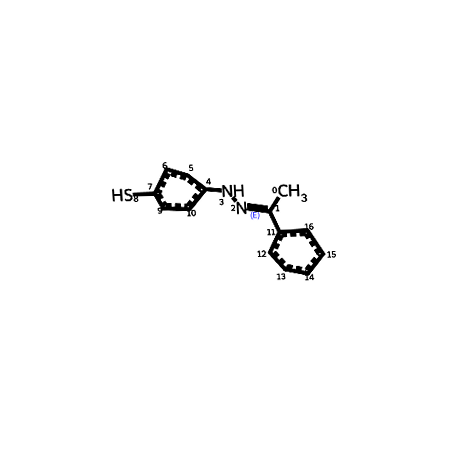 C/C(=N\Nc1ccc(S)cc1)c1ccccc1